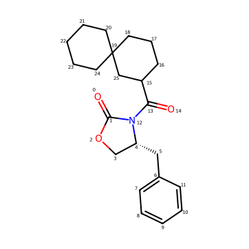 O=C1OC[C@@H](Cc2ccccc2)N1C(=O)C1CCCC2(CCCCC2)C1